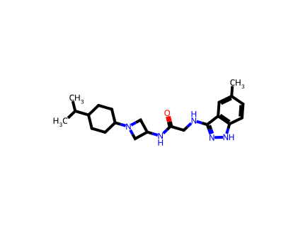 Cc1ccc2[nH]nc(NCC(=O)NC3CN(C4CCC(C(C)C)CC4)C3)c2c1